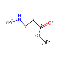 CCCNCCC(=O)OCCC